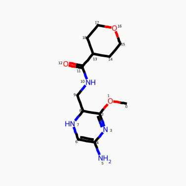 COC1=NC(N)=CNC1CNC(=O)C1CCOCC1